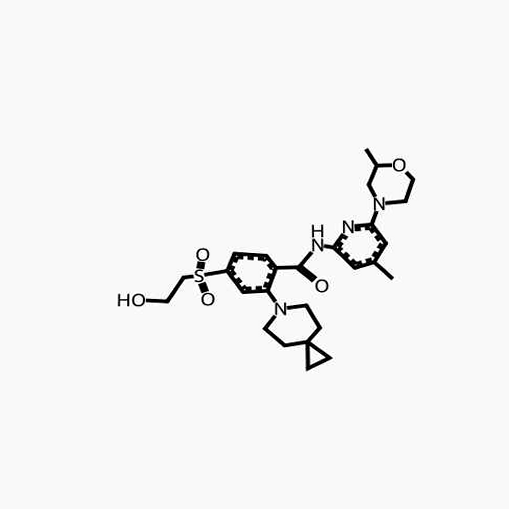 Cc1cc(NC(=O)c2ccc(S(=O)(=O)CCO)cc2N2CCC3(CC2)CC3)nc(N2CCOC(C)C2)c1